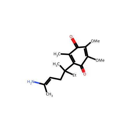 CCC(C)(C/C=C(\C)N)C1=C(C)C(=O)C(OC)=C(OC)C1=O